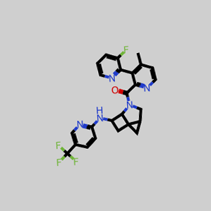 Cc1ccnc(C(=O)N2CC3CC34CC(Nc3ccc(C(F)(F)F)cn3)C24)c1-c1ncccc1F